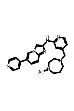 CC(=O)N1CCCN(Cc2ccnc(Nc3cn4cc(-c5ccncc5)ccc4n3)c2)CC1